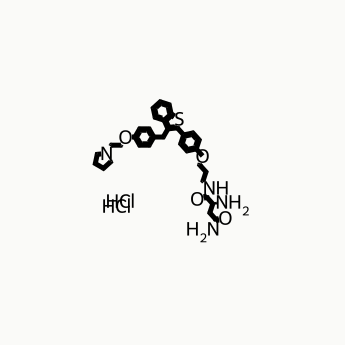 Cl.Cl.NC(=O)C[C@H](N)C(=O)NCCCOc1ccc(-c2sc3ccccc3c2Cc2ccc(OCCN3CCCC3)cc2)cc1